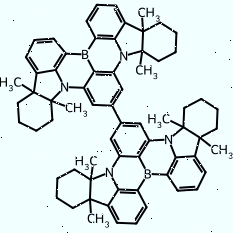 CC12CCCCC1(C)N1c3cc(-c4cc5c6c(c4)N4c7c(cccc7C7(C)CCCCC47C)B6c4cccc6c4N5C4(C)CCCCC64C)cc4c3B(c3cccc2c31)c1cccc2c1N4C1(C)CCCCC21C